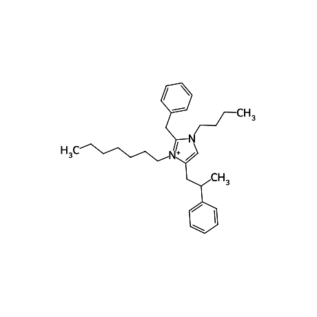 CCCCCCC[n+]1c(CC(C)c2ccccc2)cn(CCCC)c1Cc1ccccc1